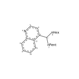 CCCCCCC(CCCCC)c1ccnc2ccccc12